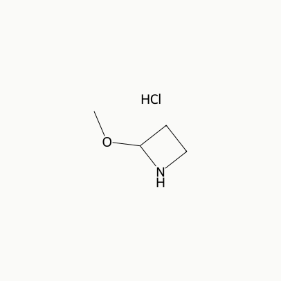 COC1CCN1.Cl